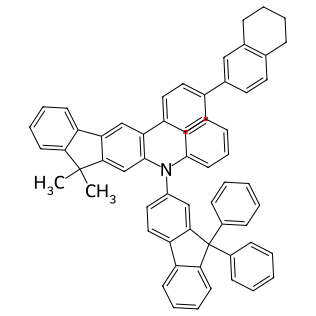 CC1(C)c2ccccc2-c2cc(-c3ccc(-c4ccc5c(c4)CCCC5)cc3)c(N(c3ccccc3)c3ccc4c(c3)C(c3ccccc3)(c3ccccc3)c3ccccc3-4)cc21